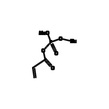 C=CC(=O)OP(=O)(OC)OC(C)CC